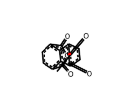 O=c1oc(=O)c2ccc1c1c3ccc(c(=O)oc3=O)c21